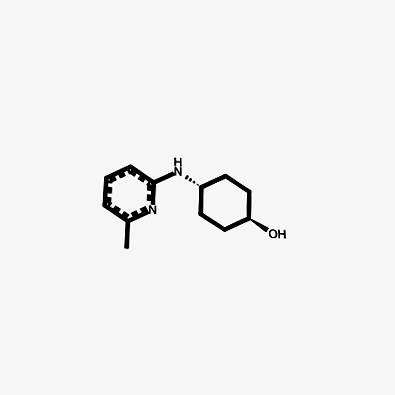 Cc1cccc(N[C@H]2CC[C@H](O)CC2)n1